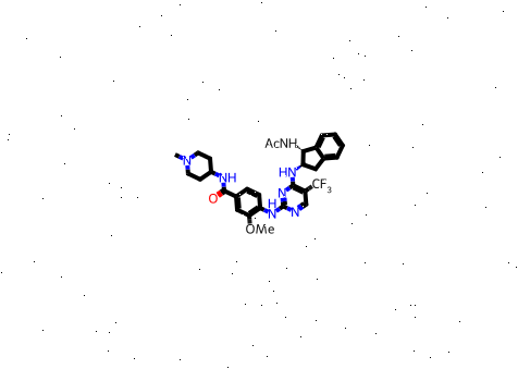 COc1cc(C(=O)NC2CCN(C)CC2)ccc1Nc1ncc(C(F)(F)F)c(N[C@@H]2Cc3ccccc3[C@H]2NC(C)=O)n1